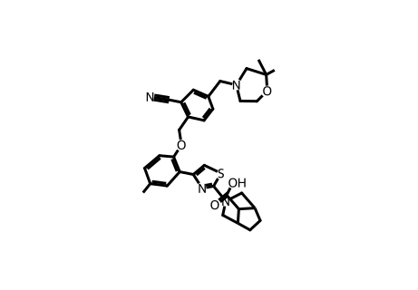 Cc1ccc(OCc2ccc(CN3CCOC(C)(C)C3)cc2C#N)c(-c2csc(N3CC4CCC(C3)C4C(=O)O)n2)c1